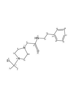 CCC(C)(C)N1CCN(CC(=O)NCCc2ccccc2)CC1